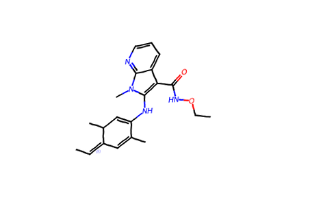 C/C=C1/C=C(C)C(Nc2c(C(=O)NOCC)c3cccnc3n2C)=CC1C